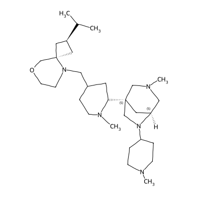 CC(C)[C@H]1C[C@]2(COCCN2CC2CCN(C)C([C@@]34C[C@@H](CN(C)C3)N(C3CCN(C)CC3)C4)C2)C1